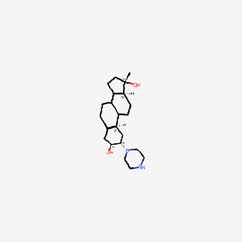 C[C@]12C[C@H](N3CCNCC3)[C@@H](O)CC1CCC1C2CC[C@@]2(C)C1CC[C@]2(C)O